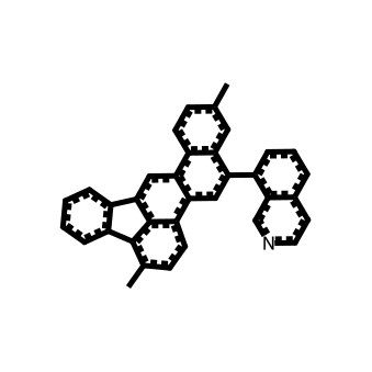 Cc1ccc2c(c1)c(-c1cccc3ccncc13)cc1c3ccc(C)c4c3c(cc21)-c1ccccc1-4